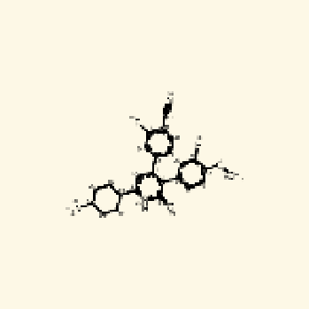 COc1ccc(-c2c(-c3ccc(C#N)c(F)c3)cc(C3CCC(N)CC3)[nH]c2=O)cc1F